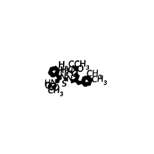 Cc1ccc(CC(CNC(=S)NC(CNS(C)(=O)=O)c2ccccc2)COC(=O)C(C)(C)C)cc1C